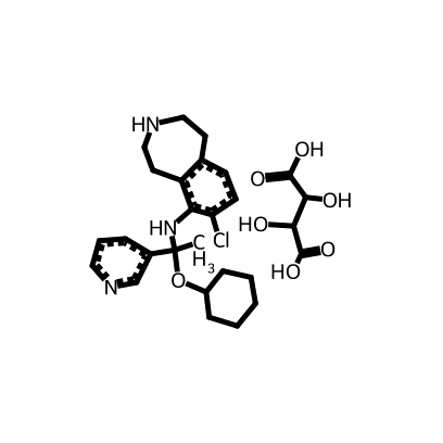 CC(Nc1c(Cl)ccc2c1CCNCC2)(OC1CCCCC1)c1cccnc1.O=C(O)C(O)C(O)C(=O)O